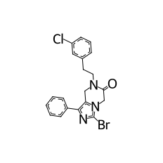 O=C1Cn2c(Br)nc(-c3ccccc3)c2CN1CCc1cccc(Cl)c1